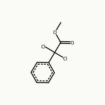 COC(=O)C(Cl)(Cl)c1ccccc1